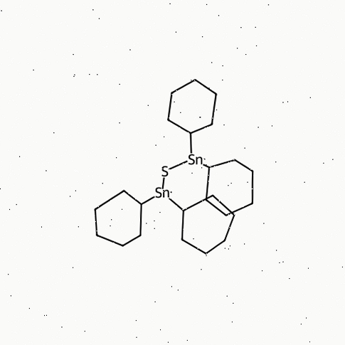 C1CC[CH]([Sn]([S][Sn]([CH]2CCCCC2)[CH]2CCCCC2)[CH]2CCCCC2)CC1